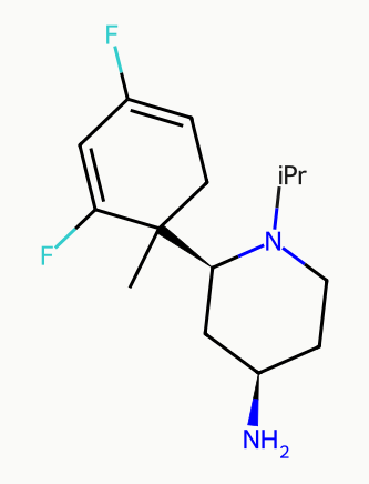 CC(C)N1CC[C@@H](N)C[C@H]1C1(C)CC=C(F)C=C1F